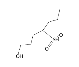 CCCC(CCCO)[SH](=O)=O